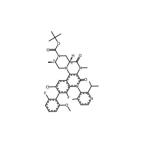 COc1cccc(F)c1-c1c(Cl)cc2c3c(c(=O)n(-c4c(C)ccnc4C(C)C)c2c1F)N(C)C(=O)[C@H]1CN(C(=O)OC(C)(C)C)[C@H](C)CN31